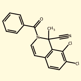 CC1(C#N)c2c(ccc(Cl)c2Cl)C=CN1C(=O)c1ccccc1